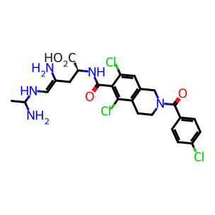 CC(N)N/C=C(\N)C[C@H](NC(=O)c1c(Cl)cc2c(c1Cl)CCN(C(=O)c1ccc(Cl)cc1)C2)C(=O)O